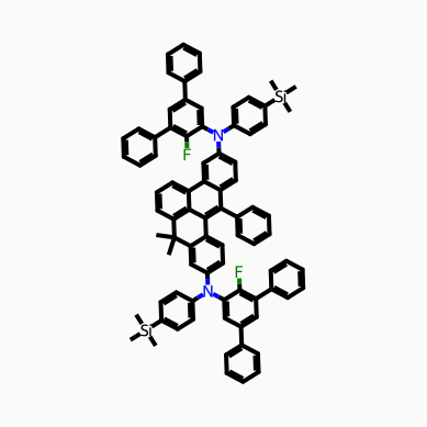 CC1(C)c2cc(N(c3ccc([Si](C)(C)C)cc3)c3cc(-c4ccccc4)cc(-c4ccccc4)c3F)ccc2-c2c(-c3ccccc3)c3ccc(N(c4ccc([Si](C)(C)C)cc4)c4cc(-c5ccccc5)cc(-c5ccccc5)c4F)cc3c3cccc1c23